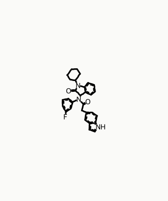 O=C1C(N(C(=O)Cc2ccc3[nH]ccc3c2)c2cccc(F)c2)c2ccccc2N1C1CCCCC1